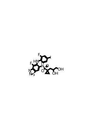 O=S(=O)(Nc1cc2snnc2c(F)c1Nc1ccc(I)cc1F)C1(CC(O)CO)CC1